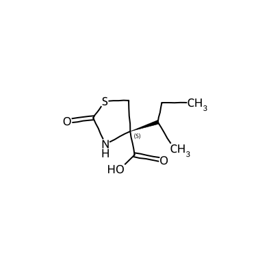 CCC(C)[C@]1(C(=O)O)CSC(=O)N1